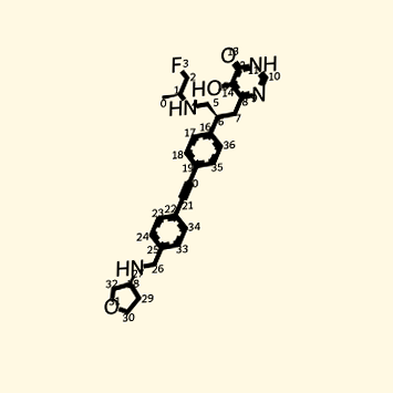 C[C@@H](CF)NC[C@@H](Cc1nc[nH]c(=O)c1O)c1ccc(C#Cc2ccc(CN[C@H]3CCOC3)cc2)cc1